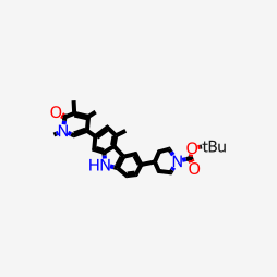 Cc1c(-c2cc(C)c3c(c2)[nH]c2ccc(C4CCN(C(=O)OC(C)(C)C)CC4)cc23)cn(C)c(=O)c1C